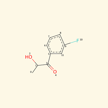 CC(O)C(=O)c1cccc(F)c1